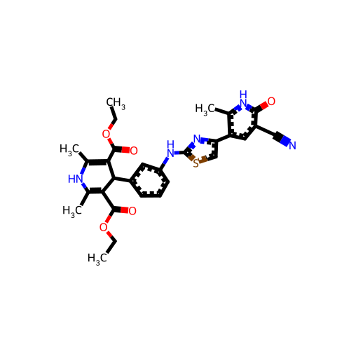 CCOC(=O)C1=C(C)NC(C)=C(C(=O)OCC)C1c1cccc(Nc2nc(-c3cc(C#N)c(=O)[nH]c3C)cs2)c1